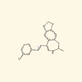 CC1Cc2cc3c(cc2C(/C=C/c2cccc(Cl)c2)=NN1)OCO3